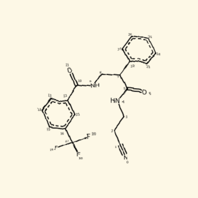 N#CCCNC(=O)C(CNC(=O)c1cccc(C(F)(F)F)c1)c1ccccc1